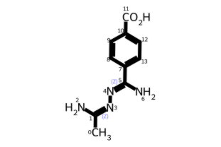 C/C(N)=N/N=C(\N)c1ccc(C(=O)O)cc1